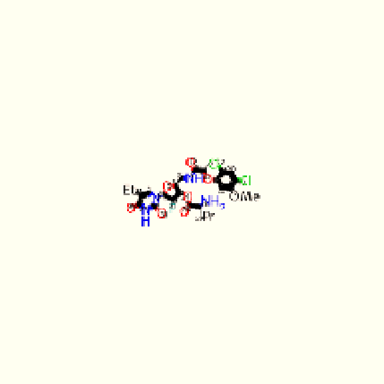 CCc1cn([C@@H]2O[C@@H](CNC(=O)[C@H](C)Oc3cc(OC)c(Cl)cc3Cl)[C@H](OC(=O)[C@H](N)C(C)C)[C@@H]2F)c(=O)[nH]c1=O